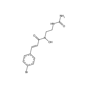 NC(=O)NCCN(O)C(=O)C=Cc1ccc(Br)cc1